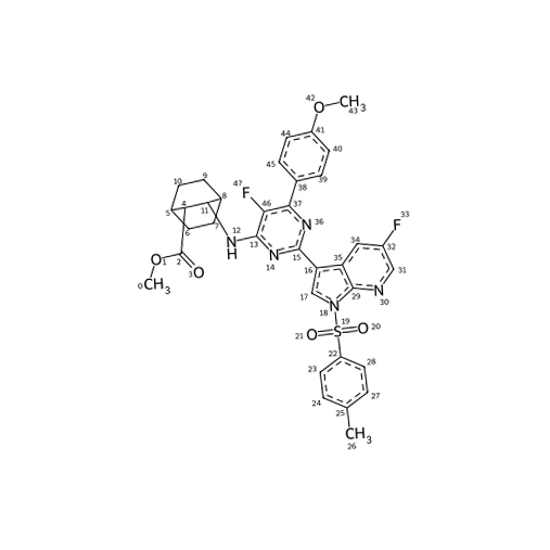 COC(=O)C1C2CCC(CC2)C1Nc1nc(-c2cn(S(=O)(=O)c3ccc(C)cc3)c3ncc(F)cc23)nc(-c2ccc(OC)cc2)c1F